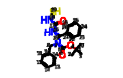 CC(C)(C)OC(=O)N(Cc1ccccc1)C(NC(=O)NS)c1ccccc1